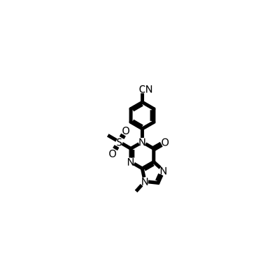 Cn1cnc2c(=O)n(-c3ccc(C#N)cc3)c(S(C)(=O)=O)nc21